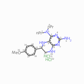 CCCN(CCC)c1nc(N)nc2c1NC(c1ccc(OC)cc1)CN2.Cl.Cl